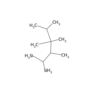 CC(C)C(C)(C)C(C)C([SiH3])[SiH3]